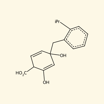 CC(C)c1ccccc1CC1(O)C=CC(C(=O)O)C(O)=C1